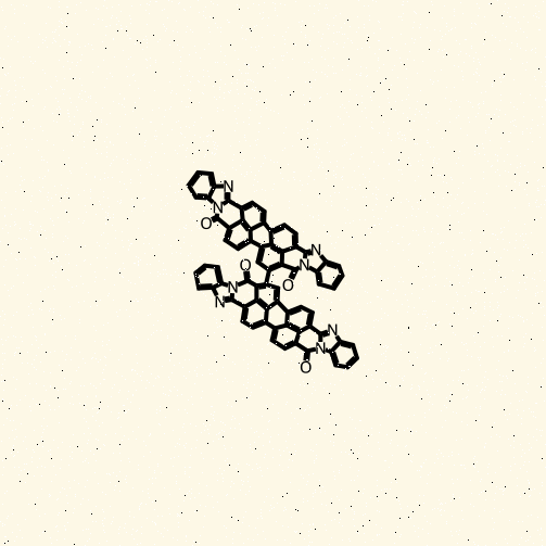 O=c1c2ccc3c4cc(-c5cc6c7ccc8c9c(ccc(c%10ccc%11c(c5c(=O)n5c%12ccccc%12nc%115)c%106)c79)c(=O)n5c6ccccc6nc85)c5c(=O)n6c7ccccc7nc6c6ccc(c7ccc(c2c73)c2nc3ccccc3n12)c4c56